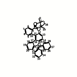 CC1(C)OB(c2ccccc2-c2cccc3c2-c2ccccc2[Si]3(c2ccccc2)c2ccccc2)OC1(C)C